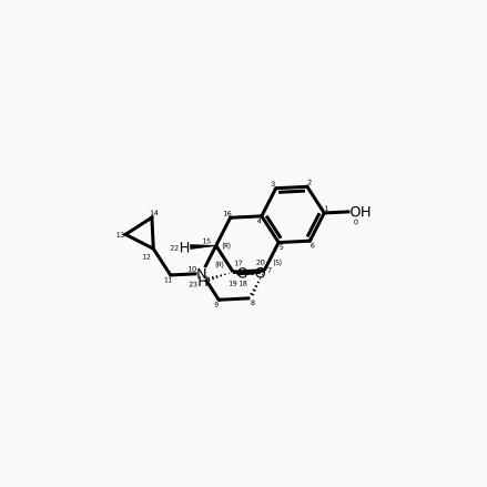 Oc1ccc2c(c1)[C@]13CCN(CC4CC4)[C@H](C2)[C@@H]1OCOC3